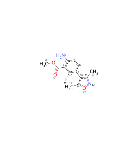 COC(=O)c1c(N)ccc(-c2c(C)noc2C)c1F